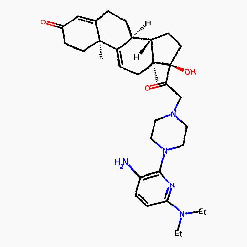 CCN(CC)c1ccc(N)c(N2CCN(CC(=O)[C@@]3(O)CC[C@H]4[C@@H]5CCC6=CC(=O)CC[C@]6(C)C5=CC[C@@]43C)CC2)n1